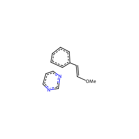 COC=Cc1ccccc1.c1cncnc1